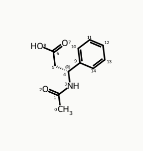 CC(=O)N[C@H](CC(=O)O)c1ccccc1